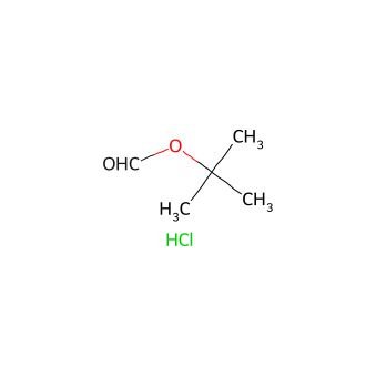 CC(C)(C)OC=O.Cl